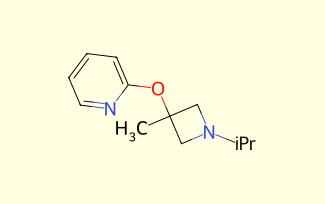 CC(C)N1CC(C)(Oc2ccccn2)C1